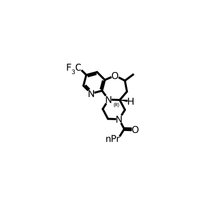 CCCC(=O)N1CCN2c3ncc(C(F)(F)F)cc3OC(C)C[C@@H]2C1